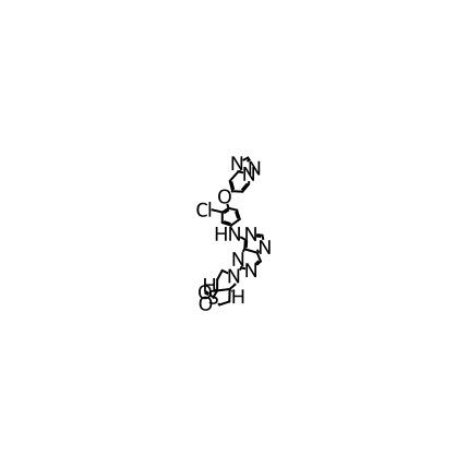 O=S1(=O)CC[C@@H]2CN(c3ncc4ncnc(Nc5ccc(Oc6ccn7ncnc7c6)c(Cl)c5)c4n3)CC[C@@H]21